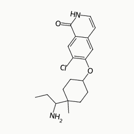 CCC(N)C1(C)CCC(Oc2cc3cc[nH]c(=O)c3cc2Cl)CC1